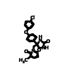 Cc1cccn(CC2(c3ccc(Oc4ccc(Cl)cc4)cc3)NC(=O)NC2=O)c1=O